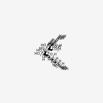 O.O.O.O.O.O.O=C(O)CC(O)(CC(=O)O)C(=O)O.O=C(O)CC(O)(CC(=O)O)C(=O)O.O=C(O)O.O=C(O)O.O=C(O)O.O=C(O)O.O=C(O)O.[NaH].[NaH].[NaH].[NaH].[NaH].[NaH]